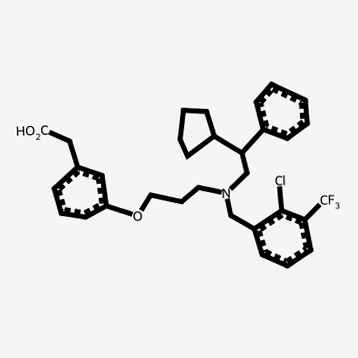 O=C(O)Cc1cccc(OCCCN(Cc2cccc(C(F)(F)F)c2Cl)CC(c2ccccc2)C2CCCC2)c1